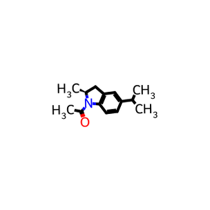 CC(=O)N1c2ccc(C(C)C)cc2C[C@@H]1C